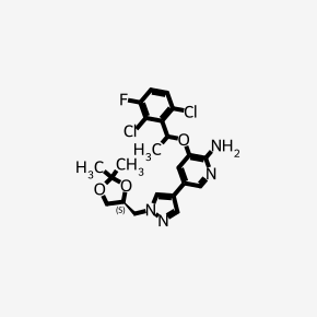 CC(Oc1cc(-c2cnn(C[C@H]3COC(C)(C)O3)c2)cnc1N)c1c(Cl)ccc(F)c1Cl